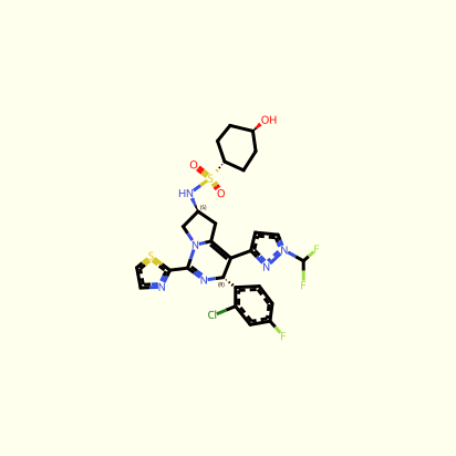 O=S(=O)(N[C@H]1CC2=C(c3ccn(C(F)F)n3)[C@H](c3ccc(F)cc3Cl)N=C(c3nccs3)N2C1)[C@H]1CC[C@H](O)CC1